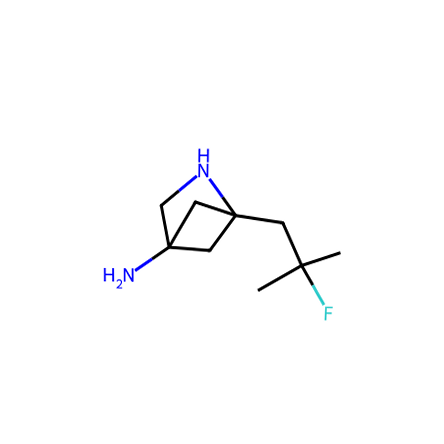 CC(C)(F)CC12CC(N)(CN1)C2